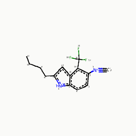 [C-]#[N+]c1ccc2[nH]c(CCCC)cc2c1C(F)(F)F